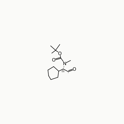 CN(C(=O)OC(C)(C)C)[C@H]([C]=O)C1CCCCC1